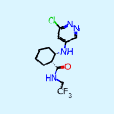 O=C(NCC(F)(F)F)[C@@H]1CCCC[C@@H]1Nc1cnnc(Cl)c1